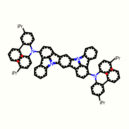 CC(C)c1ccc(N(c2ccc(C(C)C)cc2-c2ccccc2)c2ccc3c4cc5c(cc4n4c6ccccc6c2c34)c2ccc(N(c3ccc(C(C)C)cc3)c3ccc(C(C)C)cc3-c3ccccc3)c3c4ccccc4n5c23)cc1